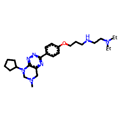 CCN(CC)CCNCCCOc1ccc(-c2nnc3c(n2)CN(C)CN3C2CCCC2)cc1